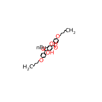 C=CCCCOc1ccc(C(=O)C2(O)C=CC(O)(C(=O)c3ccc(OCCCC=C)cc3)C(CCCC)=C2)cc1